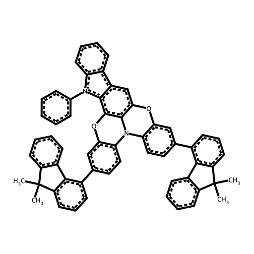 CC1(C)c2ccccc2-c2c(-c3ccc4c(c3)Oc3cc5c6ccccc6n(-c6ccccc6)c5c5c3N4c3ccc(-c4cccc6c4-c4ccccc4C6(C)C)cc3O5)cccc21